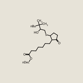 CCCCCCCCCCOC(=O)CCCCCCC1C(=O)CCC1SCC(O)C(C)(C)CCCC